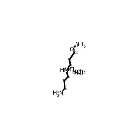 Cl.Cl.Cl.NCCCNCCCON